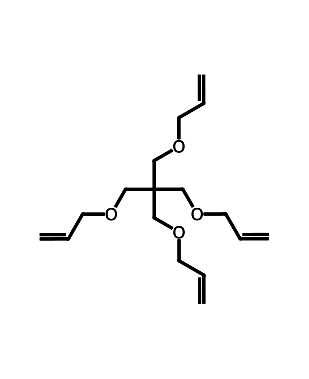 C=CCOCC(COCC=C)(COCC=C)COCC=C